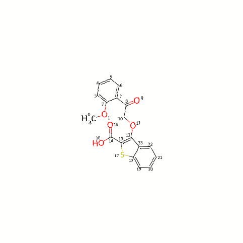 COc1ccccc1C(=O)COc1c(C(=O)O)sc2ccccc12